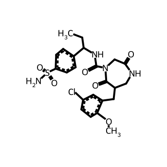 CCC(NC(=O)N1CC(=O)NCC(Cc2cc(Cl)ccc2OC)C1=O)c1ccc(S(N)(=O)=O)cc1